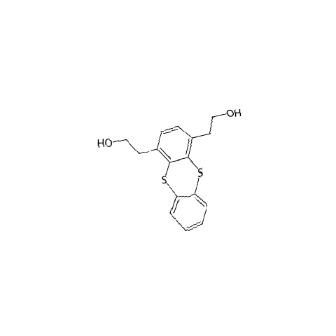 OCCc1ccc(CCO)c2c1Sc1ccccc1S2